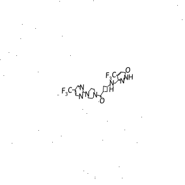 O=C(C1CC(NCc2n[nH]c(=O)cc2C(F)(F)F)C1)N1CCN(c2ncc(C(F)(F)F)cn2)CC1